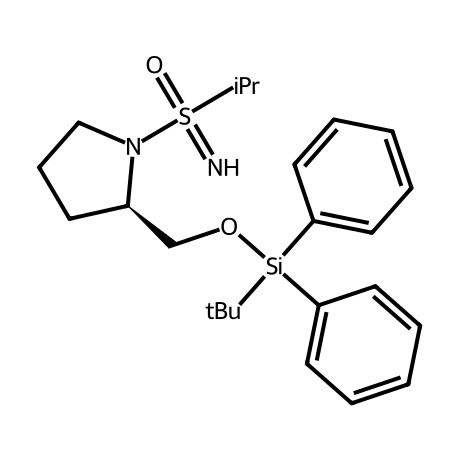 CC(C)S(=N)(=O)N1CCC[C@@H]1CO[Si](c1ccccc1)(c1ccccc1)C(C)(C)C